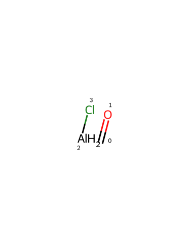 C=O.[AlH2][Cl]